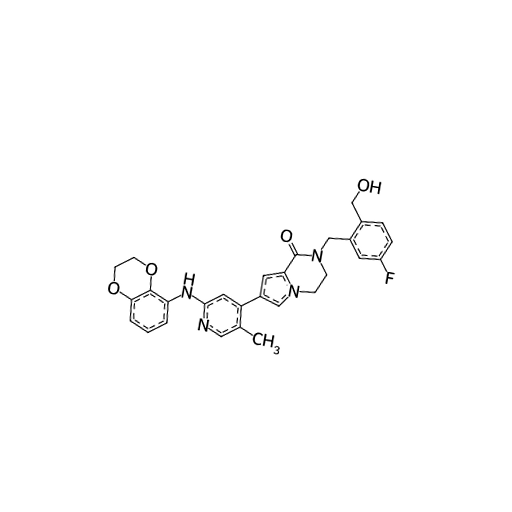 Cc1cnc(Nc2cccc3c2OCCO3)cc1-c1cc2n(c1)CCN(Cc1cc(F)ccc1CO)C2=O